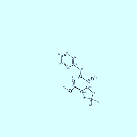 COC(=O)[C@@H]1CC(C)(C)CN1C(=O)OCc1ccccc1